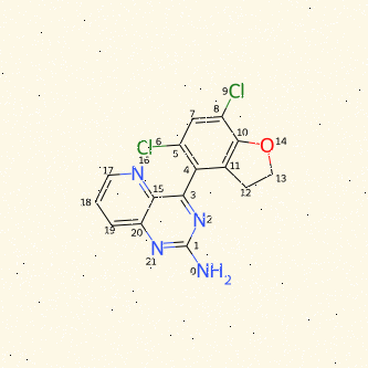 Nc1nc(-c2c(Cl)cc(Cl)c3c2CCO3)c2ncccc2n1